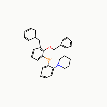 C1=CCC(Cc2cccc(Pc3ccccc3N3CCCCC3)c2OCc2ccccc2)C=C1